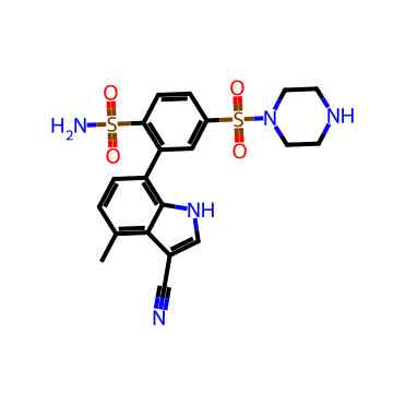 Cc1ccc(-c2cc(S(=O)(=O)N3CCNCC3)ccc2S(N)(=O)=O)c2[nH]cc(C#N)c12